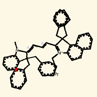 CC(C)CC[N+]1=C(/C=C/C=C2/N(C)c3ccccc3C2(Cc2ccccc2)Cc2ccccc2)C(Cc2ccccc2)(Cc2ccccc2)c2c1ccc1ccccc21